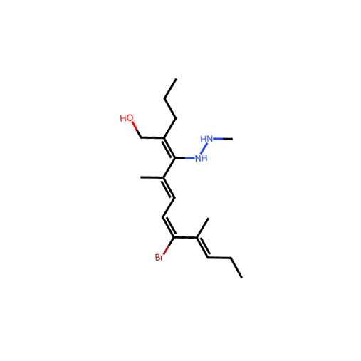 CC/C=C(C)/C(Br)=C\C=C(C)\C(NNC)=C(/CO)CCC